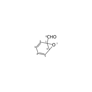 O=CC12C=CC=CC1O2